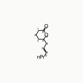 CCCC=CCC1CCCC(=O)O1